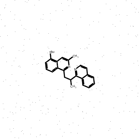 Cc1cc2c(C(C)(C)C)cccc2c(CC(C)c2nccc3ccccc23)n1